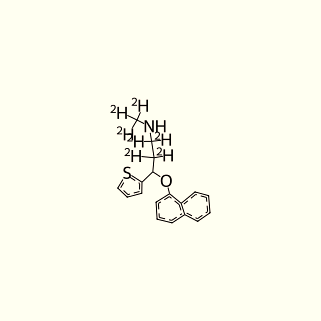 [2H]C([2H])([2H])NC([2H])([2H])C([2H])([2H])C(Oc1cccc2ccccc12)c1cccs1